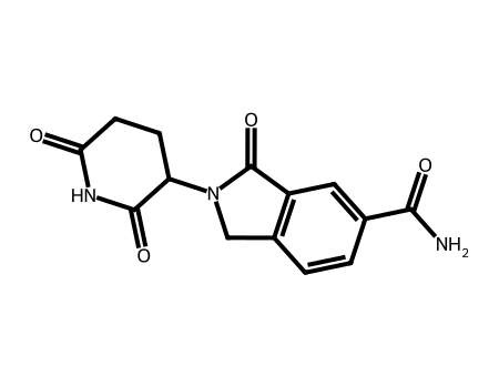 NC(=O)c1ccc2c(c1)C(=O)N(C1CCC(=O)NC1=O)C2